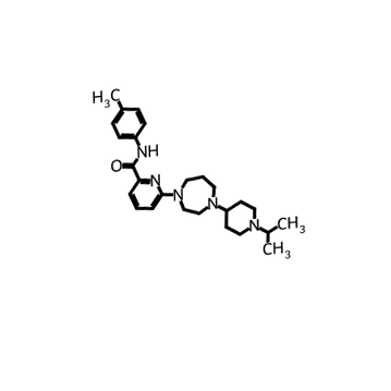 Cc1ccc(NC(=O)c2cccc(N3CCCN(C4CCN(C(C)C)CC4)CC3)n2)cc1